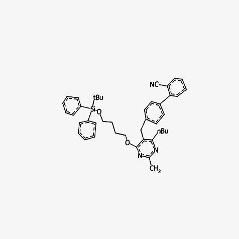 CCCCc1nc(C)nc(OCCCCO[Si](c2ccccc2)(c2ccccc2)C(C)(C)C)c1Cc1ccc(-c2ccccc2C#N)cc1